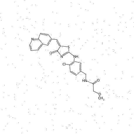 COCC(=O)NCc1ccc(Cl)c(NC2=NC(=O)C(=Cc3ccc4ncccc4c3)S2)c1